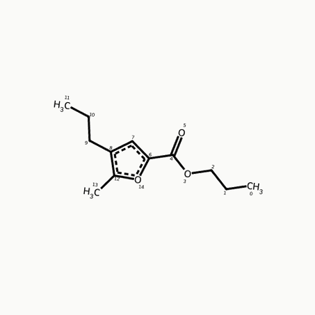 CCCOC(=O)c1cc(CCC)c(C)o1